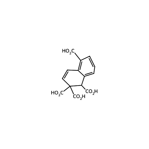 O=C(O)c1cccc2c1C=CC(C(=O)O)(C(=O)O)C2C(=O)O